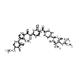 COc1ccc(-c2cnc(C(=O)Nc3ccc(C(=O)N4CCN(C(=O)NC(C)C(O)CN(C)C)CC4)c(Cl)c3)n2C)c(F)c1F